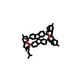 CC(C)=C/C=C(\C)N(c1ccc(C)cc1)c1ccc2c(c1)C1(c3cc(N(C)c4ccc(C)cc4)ccc3-c3ccc(N(c4ccc(C)cc4)c4ccc(C)cc4)cc31)c1cc(N(c3ccc(C)cc3)c3ccc(C)cc3)ccc1-2